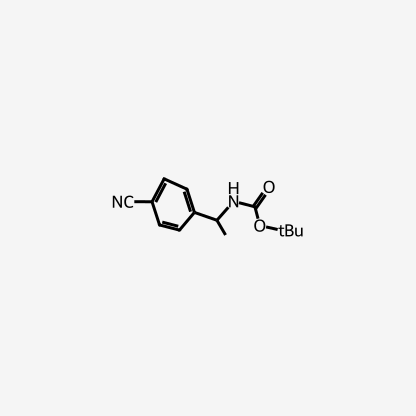 CC(NC(=O)OC(C)(C)C)c1ccc(C#N)cc1